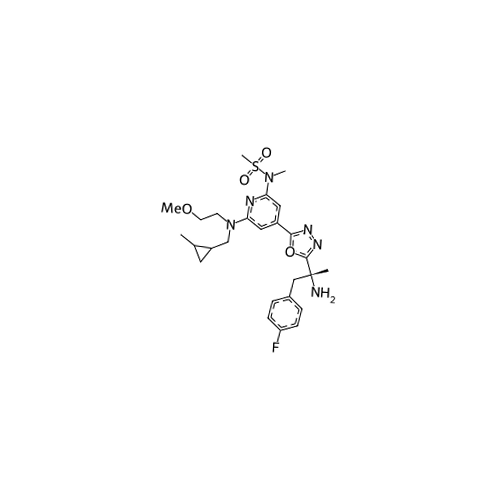 COCCN(CC1CC1C)c1cc(-c2nnc([C@](C)(N)Cc3ccc(F)cc3)o2)cc(N(C)S(C)(=O)=O)n1